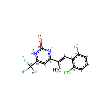 CC(=Cc1c(Cl)cccc1Cl)c1cc(C(F)(F)F)[nH]c(=O)n1